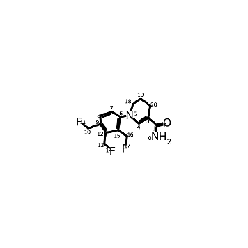 NC(=O)C1=CN(c2ccc(CF)c(CF)c2CF)CCC1